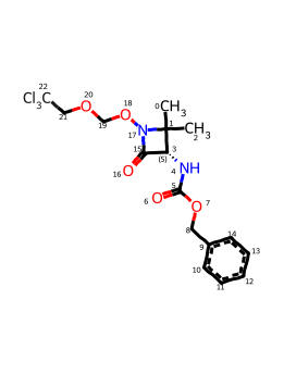 CC1(C)[C@H](NC(=O)OCc2ccccc2)C(=O)N1OCOCC(Cl)(Cl)Cl